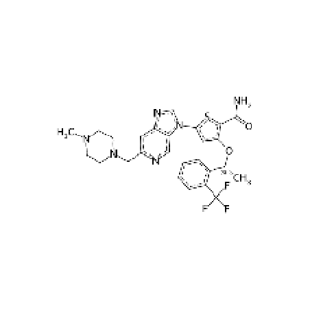 C[C@@H](Oc1cc(-n2cnc3cc(CN4CCN(C)CC4)ncc32)sc1C(N)=O)c1ccccc1C(F)(F)F